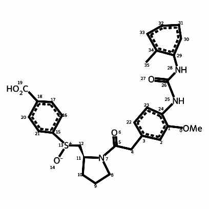 COc1cc(CC(=O)N2CCC[C@H]2C[S+]([O-])c2ccc(C(=O)O)cc2)ccc1NC(=O)Nc1ccccc1C